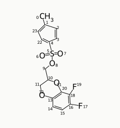 Cc1ccc(S(=O)(=O)OCC2COc3ccc(F)c(F)c3O2)cc1